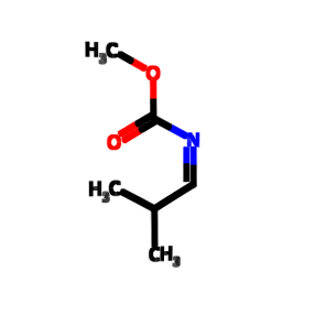 COC(=O)/N=C\C(C)C